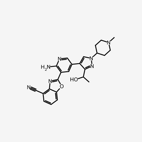 CC(O)c1nn(C2CCN(C)CC2)cc1-c1cnc(N)c(-c2nc3c(C#N)cccc3o2)c1